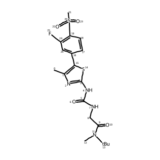 Cc1nc(NC(=O)NCC(=O)N(C)C(C)(C)C)sc1-c1ccc(S(C)(=O)=O)c(F)c1